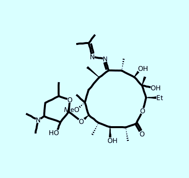 CC[C@H]1OC(=O)[C@H](C)[C@@H](O)[C@H](C)[C@@H](OC2OC(C)CC(N(C)C)C2O)[C@](C)(OC)C[C@@H](C)/C(=N\N=C(C)C)[C@H](C)[C@@H](O)[C@]1(C)O